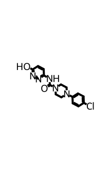 O=C(Nc1ccc(O)nn1)N1CCN(c2ccc(Cl)cc2)CC1